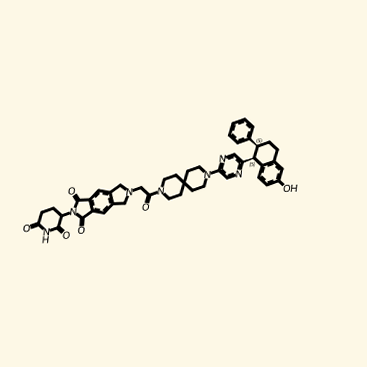 O=C1CCC(N2C(=O)c3cc4c(cc3C2=O)CN(CC(=O)N2CCC3(CC2)CCN(c2cnc([C@@H]5c6ccc(O)cc6CC[C@@H]5c5ccccc5)cn2)CC3)C4)C(=O)N1